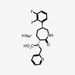 O=C1NC[C@H](c2cccc(F)c2F)CC[C@H]1N(Cc1ccccn1)C(=O)O.[H-].[Na+]